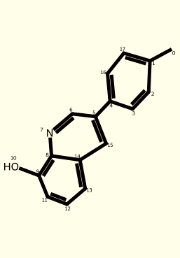 Cc1ccc(-c2cnc3c(O)cccc3c2)cc1